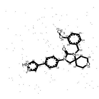 O=C1N(c2ccc(-c3cn[nH]c3)cc2)CC2(CCOCC2)N1Cc1cccc(OC(F)(F)F)c1